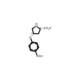 CCCCCCCCc1ccc(O[C@@H]2CN[C@H](C(=O)O)C2)cc1